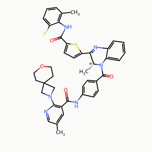 Cc1cnc(N2CC3(CCOCC3)C2)c(C(=O)Nc2ccc(C(=O)N3c4ccccc4N=C(c4ccc(C(=O)Nc5c(C)cccc5F)s4)[C@H]3C)cc2)c1